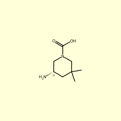 CC1(C)C[C@H](N)CN(C(=O)O)C1